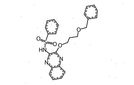 O=S(=O)(Nc1nc2ccccc2nc1OCCCOCc1ccccc1)c1ccccc1